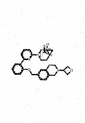 O=C(O)[C@@]12CCN(c3cccc(-c4ccccc4OCc4ccc5c(c4)CCN(C4COC4)C5)n3)C[C@@H]1C2